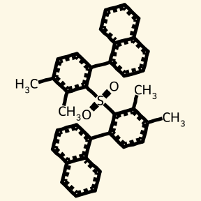 Cc1ccc(-c2cccc3ccccc23)c(S(=O)(=O)c2c(-c3cccc4ccccc34)ccc(C)c2C)c1C